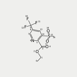 CCOC(=O)c1ncc(C(F)(F)F)cc1S(C)(=O)=O